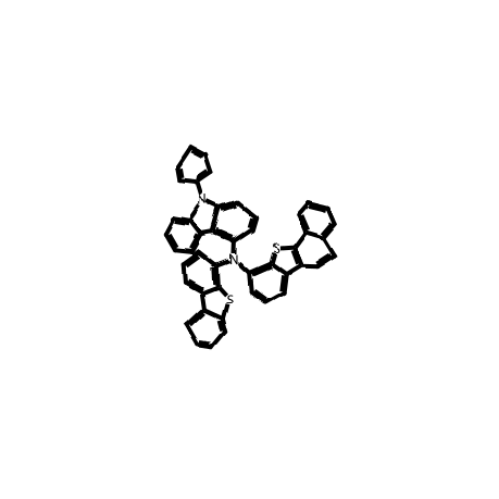 c1ccc(-n2c3ccccc3c3c(N(c4cccc5c4sc4ccccc45)c4cccc5c4sc4c6ccccc6ccc54)cccc32)cc1